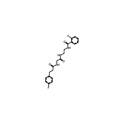 O=C(CCc1ccc(F)cc1)NCC(=O)NCCNC(=O)c1ccccc1F